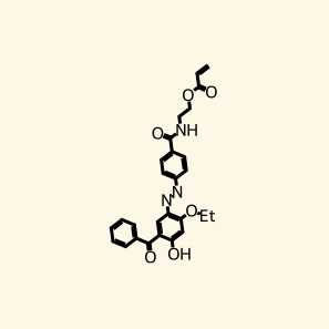 C=CC(=O)OCCNC(=O)c1ccc(/N=N/c2cc(C(=O)c3ccccc3)c(O)cc2OCC)cc1